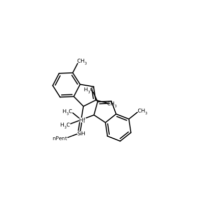 CCCCC[SiH]=[Hf]([CH3])([CH3])([CH]1C(C)=Cc2c(C)cccc21)[CH]1C(C)=Cc2c(C)cccc21